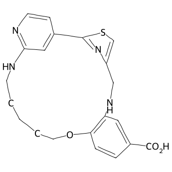 O=C(O)c1ccc2c(c1)NCc1csc(n1)-c1ccnc(c1)NCCCCCO2